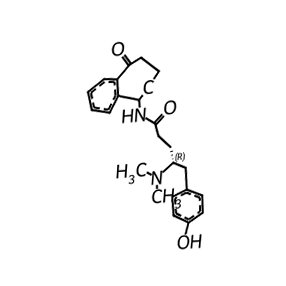 CN(C)[C@H](CCC(=O)NC1CCCC(=O)c2ccccc21)Cc1ccc(O)cc1